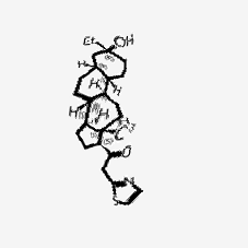 CC[C@@]1(O)CC[C@H]2[C@H](CC[C@@H]3[C@@H]2CC[C@]2(C)[C@@H](C(=O)Cc4nccs4)CC[C@@H]32)C1